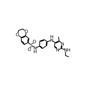 CCNc1ncc(Nc2ccc(NS(=O)(=O)c3ccc4c(c3)OCCO4)cc2)c(C)n1